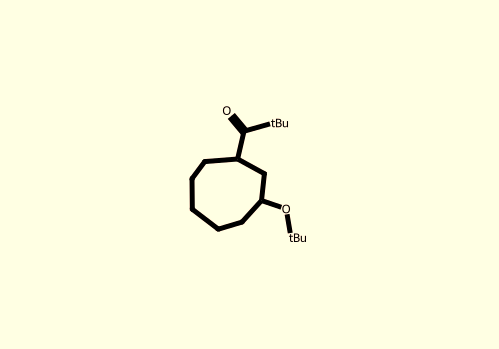 CC(C)(C)OC1CCCCCC(C(=O)C(C)(C)C)C1